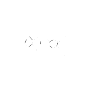 COc1ccccc1NC(=O)Cc1ccc(OC)c(OC)c1